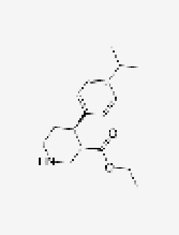 CCOC(=O)[C@H]1CNCC[C@H]1c1ccc(C(C)C)cc1